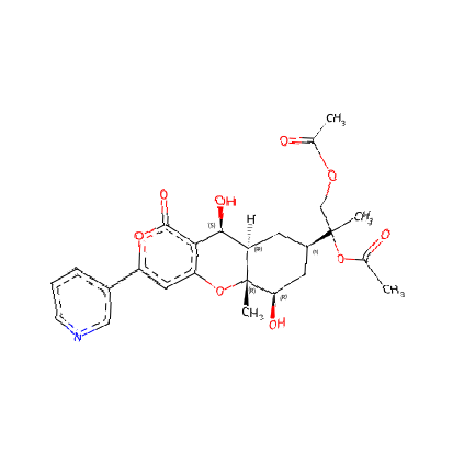 CC(=O)OCC(C)(OC(C)=O)[C@H]1C[C@@H](O)[C@]2(C)Oc3cc(-c4cccnc4)oc(=O)c3[C@@H](O)[C@H]2C1